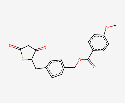 COc1ccc(C(=O)OCc2ccc(CC3SC(=O)CC3=O)cc2)cc1